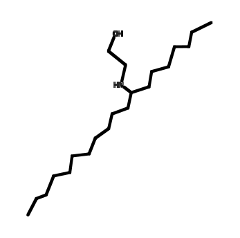 CCCCCCCCCCCC(CCCCCCC)NCCO